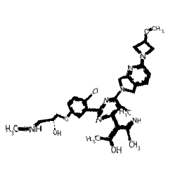 CNC[C@@H](O)COc1ccc(Cl)c(-c2nc(/C(C(C)=N)=C(\C)O)c(C)c(N3Cc4ccc(N5CC(OC)C5)nc4C3)n2)c1